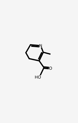 CC1=C(C(=O)O)CCC=N1